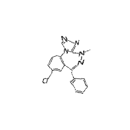 CN1N=C(c2ccccc2)c2cc(Cl)ccc2-n2cnnc21